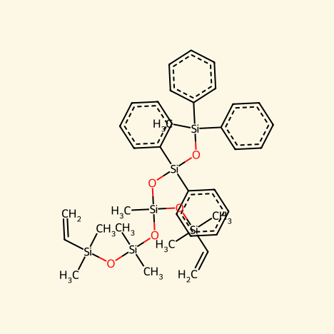 C=C[Si](C)(C)O[Si](C)(C)O[Si](C)(O[Si](C)(C)C=C)O[Si](O[Si](C)(c1ccccc1)c1ccccc1)(c1ccccc1)c1ccccc1